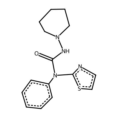 O=C(NN1CCCCC1)N(c1ccccc1)c1nccs1